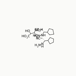 N#CC[C@@H](NN)C1CCCC1.N#CC[C@@H](NN)C1CCCC1.O=C(O)C(O)C(O)C(=O)O